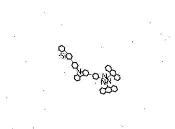 C[Si]1(C)c2ccccc2-c2ccc(-c3ccc(-n4c5ccccc5c5cc(-c6ccc(-c7nc(-c8c9ccccc9cc9ccccc89)nc(-c8c9ccccc9cc9ccccc89)n7)cc6)ccc54)cc3)cc21